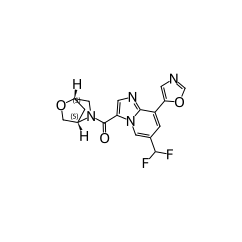 O=C(c1cnc2c(-c3cnco3)cc(C(F)F)cn12)N1C[C@@H]2C[C@H]1CO2